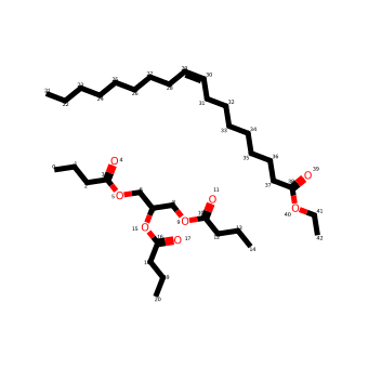 CCCC(=O)OCC(COC(=O)CCC)OC(=O)CCC.CCCCCCCC/C=C\CCCCCCCC(=O)OCC